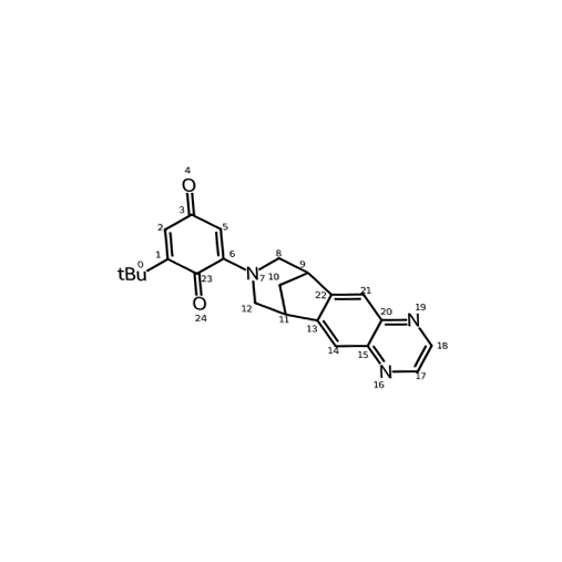 CC(C)(C)C1=CC(=O)C=C(N2CC3CC(C2)c2cc4nccnc4cc23)C1=O